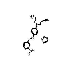 CCON(CCC#N)c1ccc(N=Nc2cccc([N+](=O)[O-])c2)cc1.c1cscn1